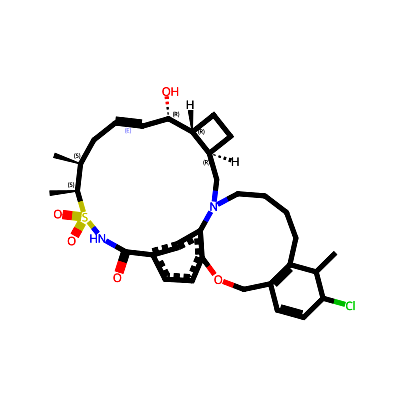 CC1C2=C(C=CC1Cl)COc1ccc3cc1N(CCCC2)C[C@@H]1CC[C@H]1[C@@H](O)/C=C/C[C@H](C)[C@H](C)S(=O)(=O)NC3=O